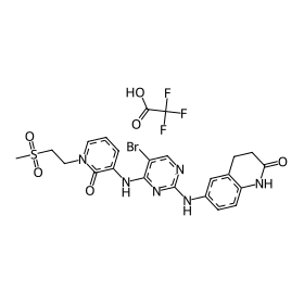 CS(=O)(=O)CCn1cccc(Nc2nc(Nc3ccc4c(c3)CCC(=O)N4)ncc2Br)c1=O.O=C(O)C(F)(F)F